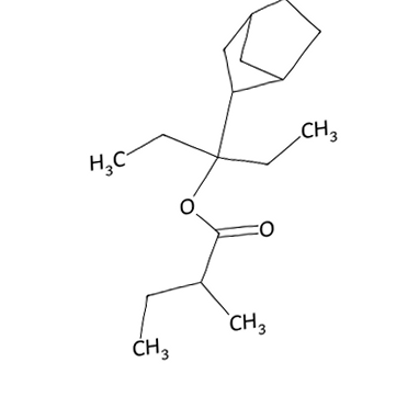 CCC(C)C(=O)OC(CC)(CC)C1CC2CCC1C2